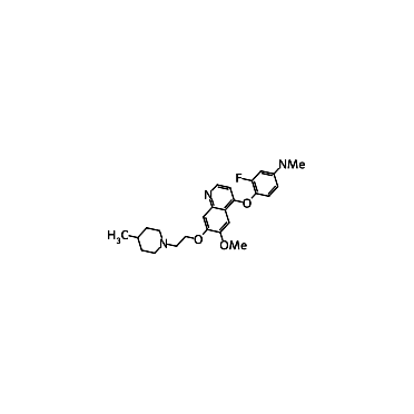 CNc1ccc(Oc2ccnc3cc(OCCN4CCC(C)CC4)c(OC)cc23)c(F)c1